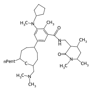 CCCCCC1CCC(c2cc(C(=O)NCC3C(=O)N(C)C(C)CC3C)c(C)c(N(C)C3CCCC3)c2)CCC(CN(C)C)C1